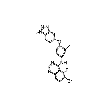 Cc1cc(Nc2ncnc3ccc(Br)c(F)c23)ccc1Oc1ccc2c(c1)nnn2C